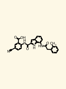 Cc1ccccc1CC(=O)Nc1cccc2cc(C(=O)Nc3ccc(C#N)cc3C(=O)O)[nH]c12